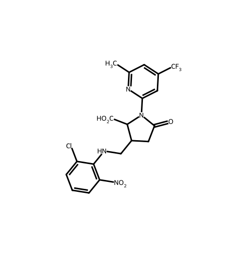 Cc1cc(C(F)(F)F)cc(N2C(=O)CC(CNc3c(Cl)cccc3[N+](=O)[O-])C2C(=O)O)n1